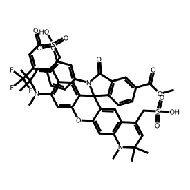 COC(=O)c1ccc2c(c1)C(=O)N(c1ccc3c(C(F)(F)F)cc(=O)oc3c1)C21c2cc3c(cc2Oc2cc4c(cc21)C(CS(=O)(=O)O)=CC(C)(C)N4C)N(C)C(C)(C)C=C3CS(=O)(=O)O